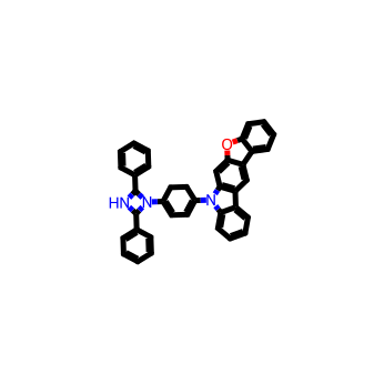 C1=C(N2C(c3ccccc3)NC2c2ccccc2)CCC(n2c3ccccc3c3cc4c(cc32)oc2ccccc24)=C1